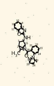 CC1C2CC(Nc3nc4ccccc4o3)C(C2)N1C(=O)c1ccccc1-n1nccn1